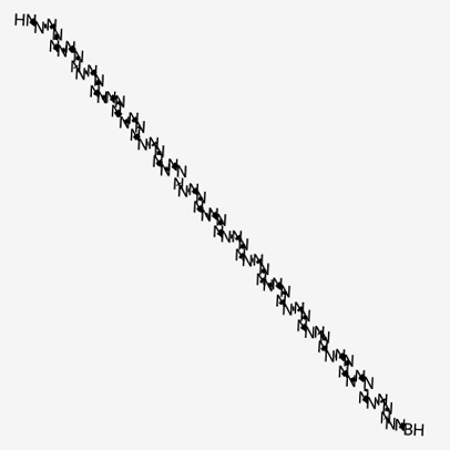 B=N\N=N/N=N\N=N/N=N\N=N/N=N\N=N/N=N\N=N/N=N\N=N/N=N\N=N/N=N\N=N/N=N\N=N/N=N\N=N/N=N\N=N/N=N\N=N/N=N\N=N/N=N\N=N/N=N\N=N/N=N\N=N/N=N\N=N/N=N\N=N